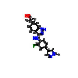 Cn1cc(-c2ccc(Nc3n[nH]c4cc(C(C)(C)O)ccc34)c(F)c2)cn1